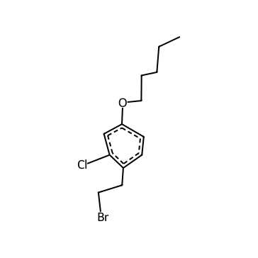 CCCCCOc1ccc(CCBr)c(Cl)c1